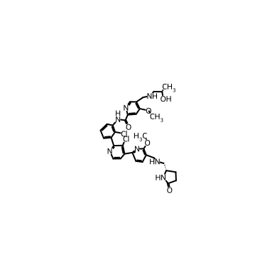 COc1cc(C(=O)Nc2cccc(-c3nccc(-c4ccc(CNC[C@@H]5CCC(=O)N5)c(OC)n4)c3Cl)c2Cl)ncc1CNC[C@@H](C)O